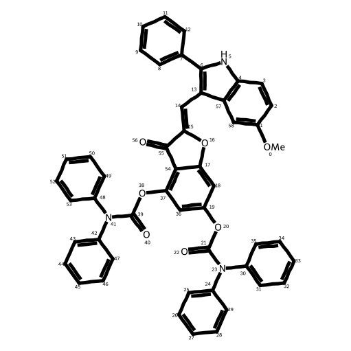 COc1ccc2[nH]c(-c3ccccc3)c(/C=C3\Oc4cc(OC(=O)N(c5ccccc5)c5ccccc5)cc(OC(=O)N(c5ccccc5)c5ccccc5)c4C3=O)c2c1